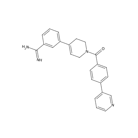 N=C(N)c1cccc(C2=CCN(C(=O)c3ccc(-c4cccnc4)cc3)CC2)c1